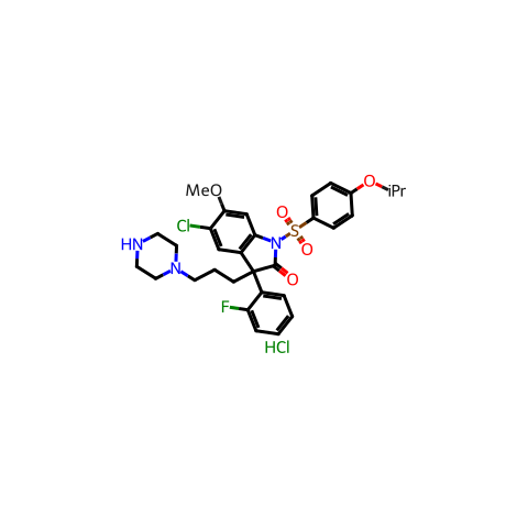 COc1cc2c(cc1Cl)C(CCCN1CCNCC1)(c1ccccc1F)C(=O)N2S(=O)(=O)c1ccc(OC(C)C)cc1.Cl